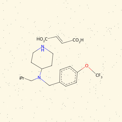 CC(C)CN(Cc1ccc(OC(F)(F)F)cc1)C1CCNCC1.O=C(O)C=CC(=O)O